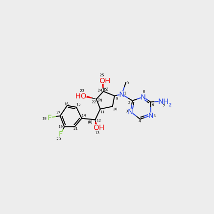 CN(c1ncnc(N)n1)C1CC([C@@H](O)c2ccc(F)c(F)c2)[C@@H](O)[C@H]1O